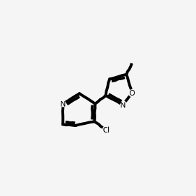 Cc1cc(-c2cnccc2Cl)no1